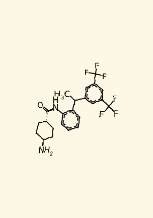 CC(c1cc(C(F)(F)F)cc(C(F)(F)F)c1)c1ccccc1NC(=O)[C@H]1CC[C@H](N)CC1